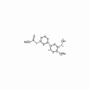 COC(=O)Cc1cccc(-c2ccc(OC)c(CO)c2)c1